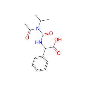 CC(=O)N(C(=O)NC(C(=O)O)c1ccccc1)C(C)C